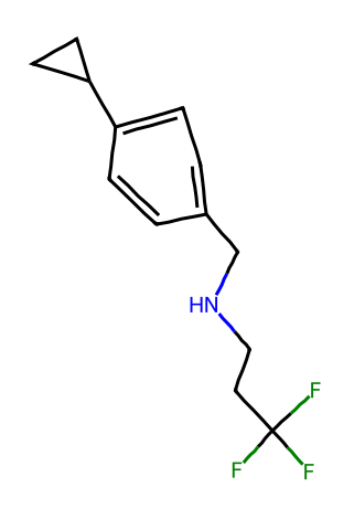 FC(F)(F)CCNCc1ccc(C2CC2)cc1